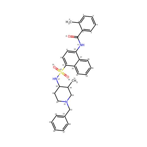 Cc1ccccc1C(=O)Nc1ccc(S(=O)(=O)NC2CCN(Cc3ccccc3)CC2C)c2ccccc12